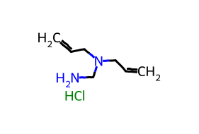 C=CCN(CN)CC=C.Cl